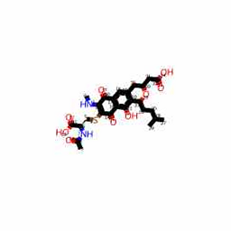 CNC1=C(SC[C@H](NC(C)=O)C(=O)O)C(=O)c2c(cc3c(c2O)C(CCC(C)C)OC(CC(=O)O)C3)C1=O